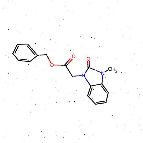 Cn1c(=O)n(CC(=O)OCc2ccccc2)c2ccccc21